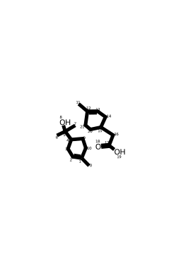 CC1=CCC(C(C)(C)O)CC1.CC1=CCC(CC(=O)O)CC1